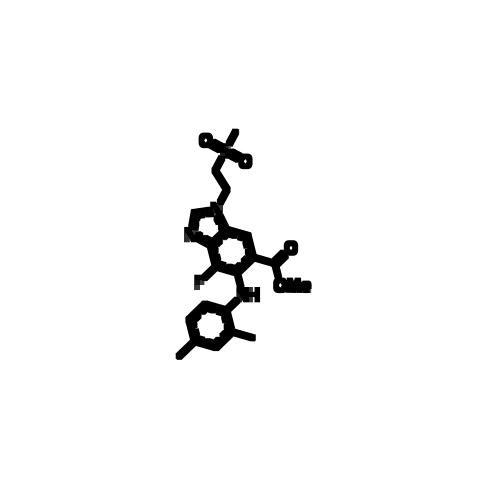 COC(=O)c1cc2c(ncn2CCS(C)(=O)=O)c(F)c1Nc1ccc(C)cc1C